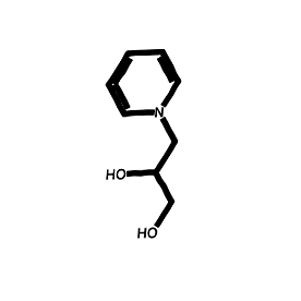 OCC(O)CN1C=C=CC=C1